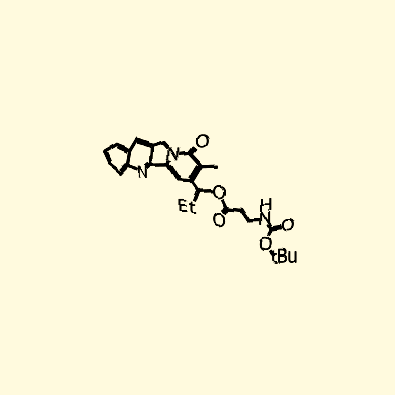 CCC(OC(=O)CCNC(=O)OC(C)(C)C)c1cc2n(c(=O)c1C)Cc1cc3ccccc3nc1-2